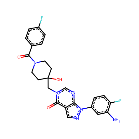 Nc1cc(-n2ncc3c(=O)n(CC4(O)CCN(C(=O)c5ccc(F)cc5)CC4)cnc32)ccc1F